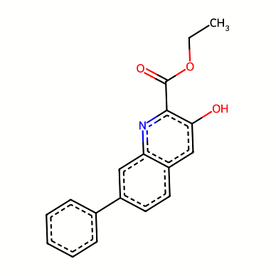 CCOC(=O)c1nc2cc(-c3ccccc3)ccc2cc1O